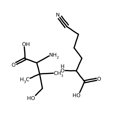 CC(C)(CO)C(N)C(=O)O.N#CCCCC(O)C(=O)O